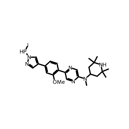 COc1cc(-c2cnn(PI)c2)ccc1-c1cnc(N(C)C2CC(C)(C)NC(C)(C)C2)cn1